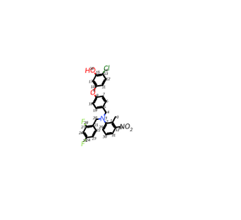 Cc1c(N(Cc2ccc(Oc3ccc(Cl)c(O)c3)cc2)Cc2ccc(F)cc2F)cccc1[N+](=O)[O-]